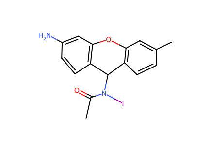 CC(=O)N(I)C1c2ccc(C)cc2Oc2cc(N)ccc21